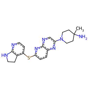 CC1(N)CCN(c2cnc3nc(Sc4ccnc5c4CCN5)ccc3n2)CC1